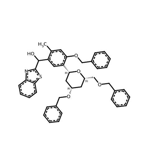 Cc1cc(OCc2ccccc2)c([C@H]2C[C@@H](OCc3ccccc3)C[C@@H](COCc3ccccc3)O2)cc1C(O)c1nc2ccccc2s1